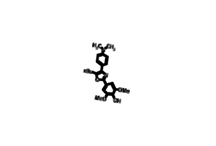 CCCCc1oc(-c2cc(OC)c(O)c(OC)c2)nc1-c1ccc(N(C)C)cc1